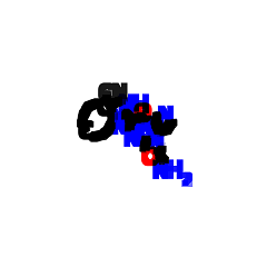 N#CCC1CNc2c(C(=O)Nc3cnccc3N3CCOC(CN)C3)c(N)nn2C12CCCCCCCCCC2